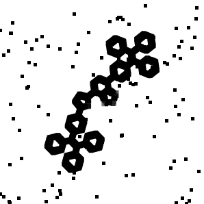 c1ccc(C(=C(c2ccccc2)c2ccc(-c3ccc(-c4ccc(-c5ccc(C(=C(c6ccccc6)c6ccccc6)c6ccccc6)cc5)c5nsnc45)s3)cc2)c2ccccc2)cc1